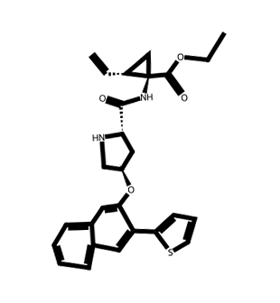 C=C[C@@H]1C[C@]1(NC(=O)[C@@H]1C[C@@H](Oc2cc3ccccc3cc2-c2cccs2)CN1)C(=O)OCC